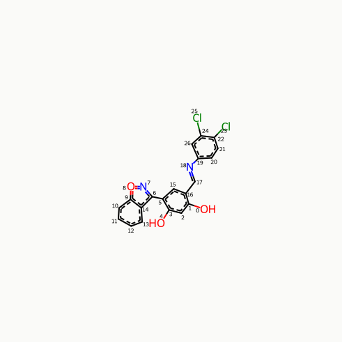 Oc1cc(O)c(-c2noc3ccccc23)cc1C=Nc1ccc(Cl)c(Cl)c1